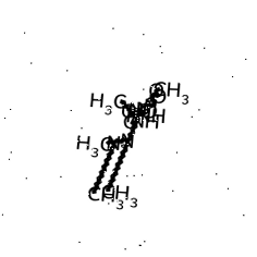 CCCCCCCCCCCCCCCCCN(CC)CCCN(CCCCCCCCCCCCCCCCC)CCCCCC(=O)Nc1nc(OCCCC)nc2c1[nH]c(=O)n2Cc1cccc(CC(=O)OC)c1